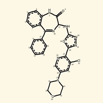 O=C1Nc2ccccc2C(c2ccccc2)=NC1Nc1nnc(-c2ncc(N3CCOCC3)cc2Cl)o1